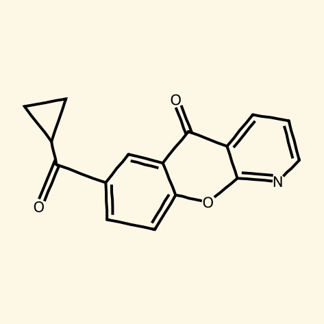 O=C(c1ccc2oc3ncccc3c(=O)c2c1)C1CC1